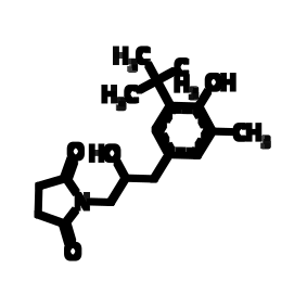 Cc1cc(CC(O)CN2C(=O)CCC2=O)cc(C(C)(C)C)c1O